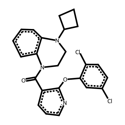 O=C(c1cccnc1Oc1cc(Cl)ccc1Cl)N1CCN(C2CCC2)c2ccccc21